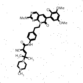 CNc1ncc2cc(-c3cc(OC)cc(OC)c3Cl)c(=O)n(CCc3ccc(NC(=O)C(C#N)=CC(C)(C)N4CCN(C)CC4)cc3)c2n1